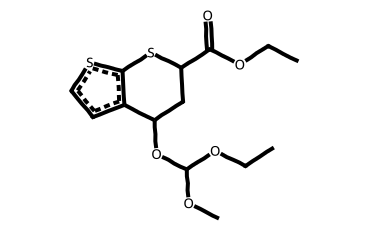 CCOC(=O)C1CC(OC(OC)OCC)c2ccsc2S1